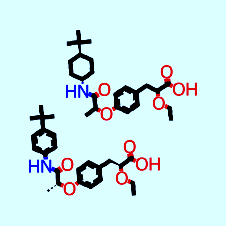 CCOC(Cc1ccc(OC(C)C(=O)N[C@H]2CC[C@H](C(C)(C)C)CC2)cc1)C(=O)O.CCO[C@@H](Cc1ccc(O[C@H](C)C(=O)Nc2ccc(C(C)(C)C)cc2)cc1)C(=O)O